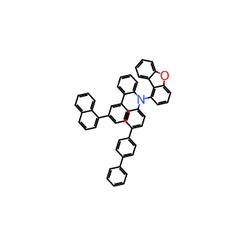 c1ccc(-c2ccc(-c3ccc(N(c4ccccc4-c4cccc(-c5cccc6ccccc56)c4)c4cccc5oc6ccccc6c45)cc3)cc2)cc1